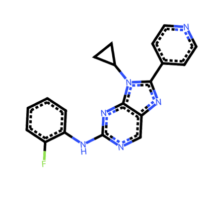 Fc1ccccc1Nc1ncc2nc(-c3ccncc3)n(C3CC3)c2n1